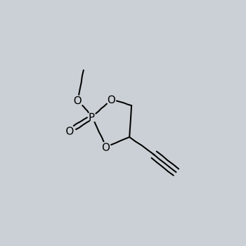 C#CC1COP(=O)(OC)O1